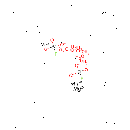 O.O.O.O.O.O.[Mg+2].[Mg+2].[Mg+2].[O-][Si]([O-])([O-])F.[O-][Si]([O-])([O-])F